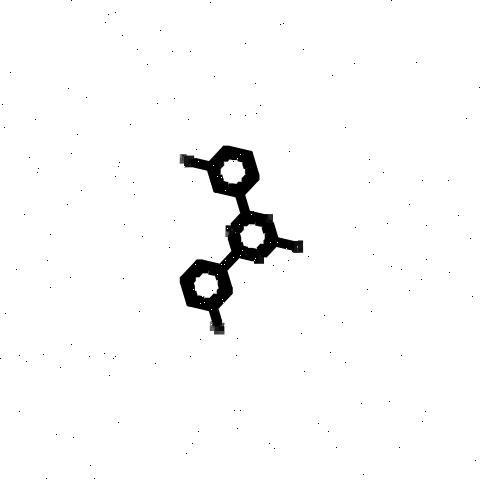 [2H]c1cccc(-c2nc(Cl)nc(-c3cccc([2H])c3)n2)c1